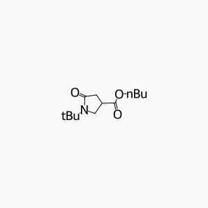 CCCCOC(=O)C1CC(=O)N(C(C)(C)C)C1